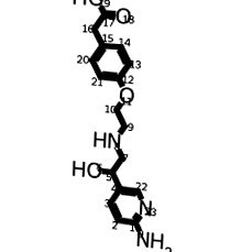 Nc1ccc(C(O)CNCCOc2ccc(CC(=O)O)cc2)cn1